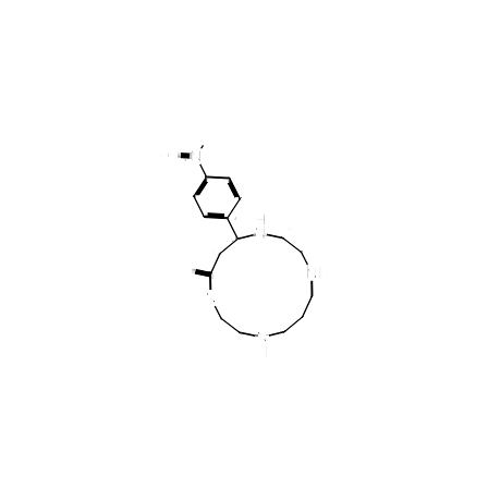 O=C1CC(c2ccc([N+](=O)[O-])cc2)NCCNCCCNCCN1